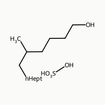 CCCCCCCCC(C)CCCCO.O=S(=O)(O)O